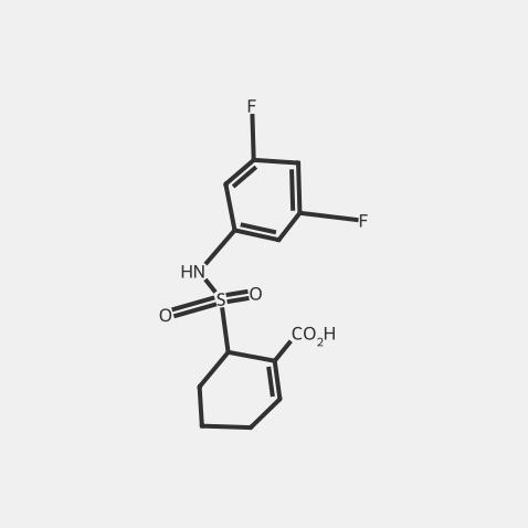 O=C(O)C1=CCCCC1S(=O)(=O)Nc1cc(F)cc(F)c1